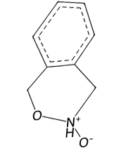 [O-][NH+]1Cc2ccccc2CO1